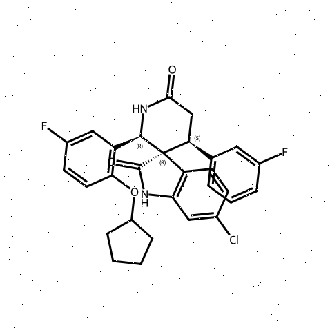 O=C1C[C@@H](c2cccc(F)c2)[C@]2(C(=O)Nc3cc(Cl)ccc32)[C@@H](c2cc(F)ccc2OC2CCCC2)N1